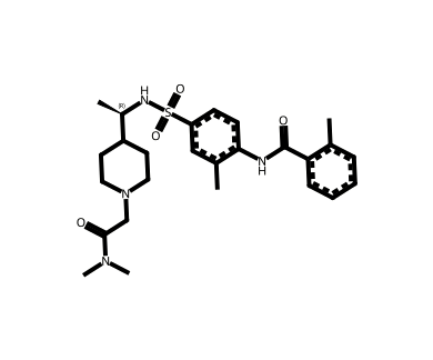 Cc1cc(S(=O)(=O)N[C@H](C)C2CCN(CC(=O)N(C)C)CC2)ccc1NC(=O)c1ccccc1C